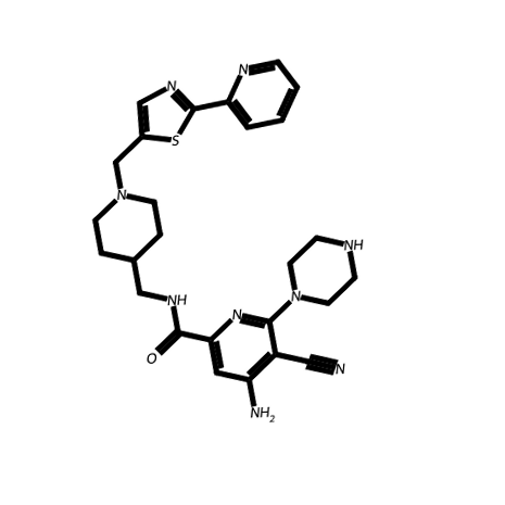 N#Cc1c(N)cc(C(=O)NCC2CCN(Cc3cnc(-c4ccccn4)s3)CC2)nc1N1CCNCC1